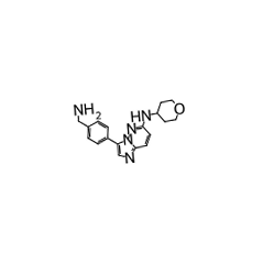 NCc1ccc(-c2cnc3ccc(NC4CCOCC4)nn23)cc1